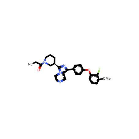 COc1cccc(Oc2ccc(-c3nc([C@@H]4CCCN(C(=O)CC#N)C4)n4ccncc34)cc2)c1F